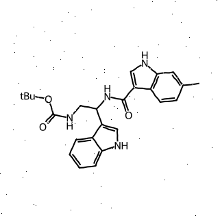 Cc1ccc2c(C(=O)NC(CNC(=O)OC(C)(C)C)c3c[nH]c4ccccc34)c[nH]c2c1